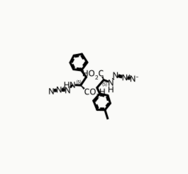 Cc1ccc(C[C@H](NN=[N+]=[N-])C(=O)O)cc1.[N-]=[N+]=NN[C@@H](Cc1ccccc1)C(=O)O